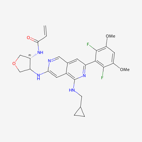 C=CC(=O)N[C@H]1COCC1Nc1cc2c(NCC3CC3)nc(-c3c(F)c(OC)cc(OC)c3F)cc2cn1